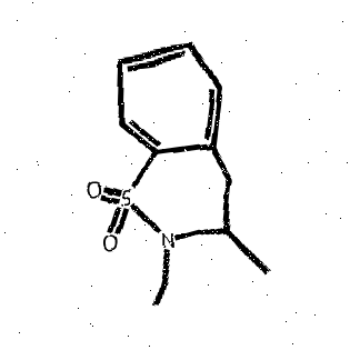 CC1Cc2ccccc2S(=O)(=O)N1C